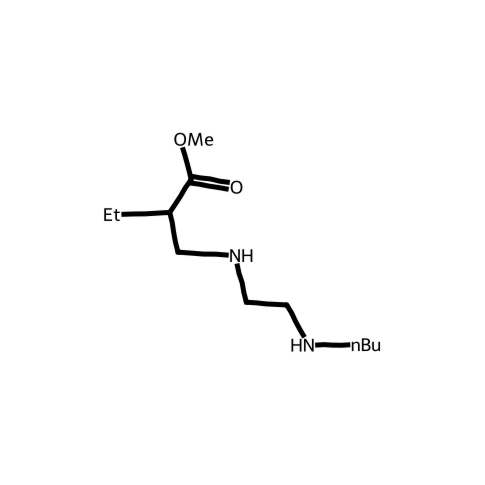 CCCCNCCNCC(CC)C(=O)OC